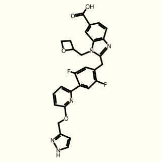 O=C(O)c1ccc2nc(Cc3cc(F)c(-c4cccc(OCc5cc[nH]n5)n4)cc3F)n(CC3CCO3)c2c1